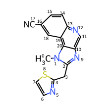 Cn1c(Cc2nccs2)nc2cnc3ccc(C#N)cc3c21